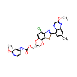 COc1cc(NC(=O)OC[C@H]2COc3c(cc(Cl)c4nc(-c5cc(C)cc6nc(OC)cnc56)sc34)O2)ccn1